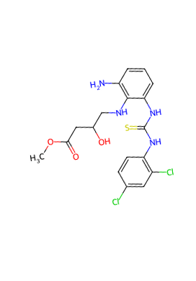 COC(=O)CC(O)CNc1c(N)cccc1NC(=S)Nc1ccc(Cl)cc1Cl